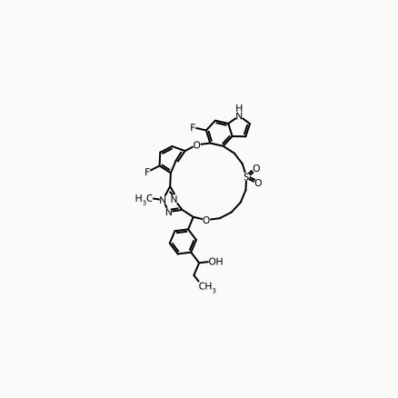 CCC(O)c1cccc(C2OCCCCS(=O)(=O)CCc3c(c(F)cc4[nH]ccc34)Oc3ccc(F)c(c3)-c3nc2nn3C)c1